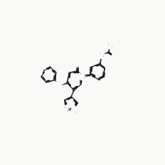 Cn1cc(-c2cn(-c3cccc(NC(N)=O)c3)c(=O)cc2Oc2ccccc2)cn1